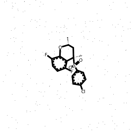 C[C@@H]1C[C@@](C)(S(=O)(=O)c2ccc(Cl)cc2)c2c(F)ccc(F)c2O1